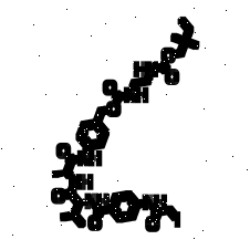 CCC(C)(C)COC(=O)NCCNC(=O)OCc1ccc(NC(=O)[C@H](C)NC(=O)[C@@H](NC(=O)c2ccc(NC(=O)CI)cc2)C(C)C)cc1